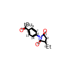 CCC1CC(=O)N(c2ccc(C(=O)C(C)(C)C)cc2)C1=O